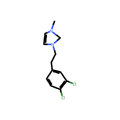 CN1C=CN(CCc2ccc(Cl)c(Cl)c2)C1